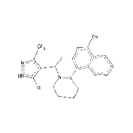 CC(c1c(C(F)(F)F)n[nH]c1Cl)N1CCCCN1c1ccc(C#N)c2ccccc12